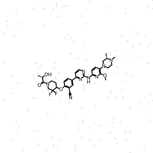 COc1nc(Nc2nccc(-c3ccc(OC4CCN(C(=O)[C@@H](C)O)CC4(F)F)c(C#N)c3)n2)ccc1N1CCN(C)[C@H](C)C1